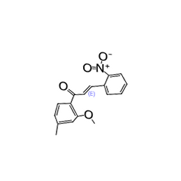 COc1cc(C)ccc1C(=O)/C=C/c1ccccc1[N+](=O)[O-]